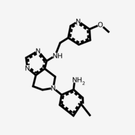 COc1ccc(CNc2ncnc3c2CN(c2ccc(C)cc2N)CC3)cn1